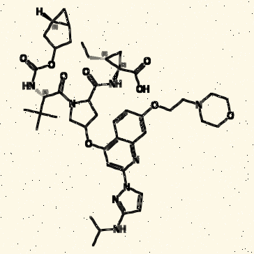 CC[C@@H]1C[C@]1(NC(=O)C1CC(Oc2cc(-n3ccc(NC(C)C)n3)nc3cc(OCCN4CCOCC4)ccc23)CN1C(=O)[C@@H](NC(=O)OC1CC2C[C@H]2C1)C(C)(C)C)C(=O)O